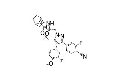 COc1ccc(-c2cn(CC(=O)NC3CC4CCC3N4C(=O)OC(C)(C)C)nc2-c2ccc(C#N)c(F)c2)cc1F